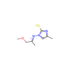 COC/C(C)=N/n1cc(C)nc1S